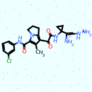 Cc1c(C(=O)C(=O)NC2(/C(N)=C/NN)CC2)c2n(c1C(=O)Nc1cccc(Cl)c1)CCC2